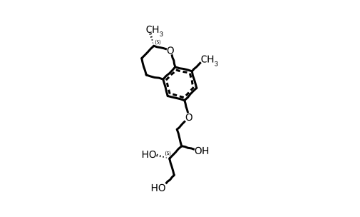 Cc1cc(OCC(O)[C@@H](O)CO)cc2c1O[C@@H](C)CC2